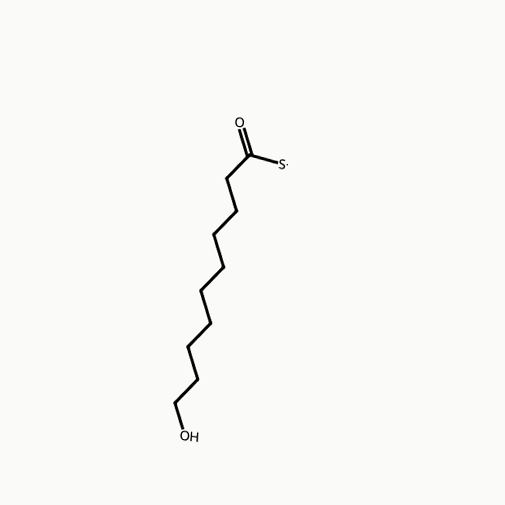 O=C([S])CCCCCCCCCO